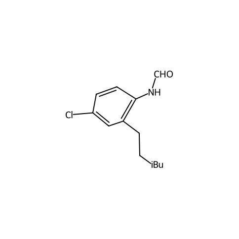 CCC(C)CCc1cc(Cl)ccc1NC=O